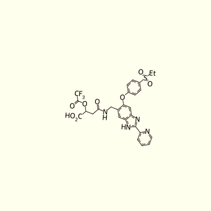 CCS(=O)(=O)c1ccc(Oc2cc3nc(-c4ccccn4)[nH]c3cc2CNC(=O)CC(OC(=O)C(F)(F)F)C(=O)O)cc1